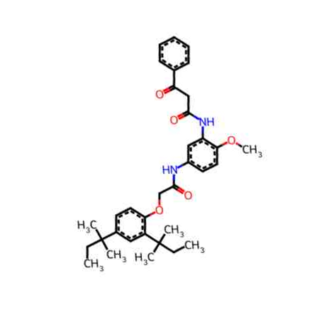 CCC(C)(C)c1ccc(OCC(=O)Nc2ccc(OC)c(NC(=O)CC(=O)c3ccccc3)c2)c(C(C)(C)CC)c1